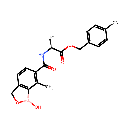 Cc1c(C(=O)N[C@H](C(=O)OCc2ccc(C#N)cc2)C(C)C)ccc2c1B(O)OC2